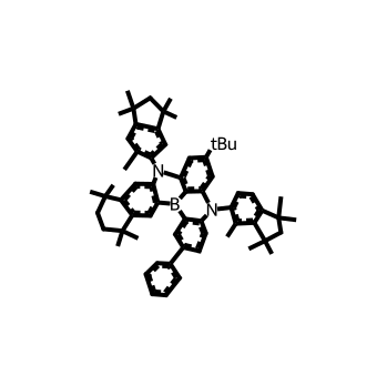 Cc1cc2c(cc1N1c3cc4c(cc3B3c5cc(-c6ccccc6)ccc5N(c5ccc6c(c5C)C(C)(C)CC6(C)C)c5cc(C(C)(C)C)cc1c53)C(C)(C)CCC4(C)C)C(C)(C)CC2(C)C